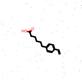 C=Cc1ccc(CCCCCC(=O)O)cc1